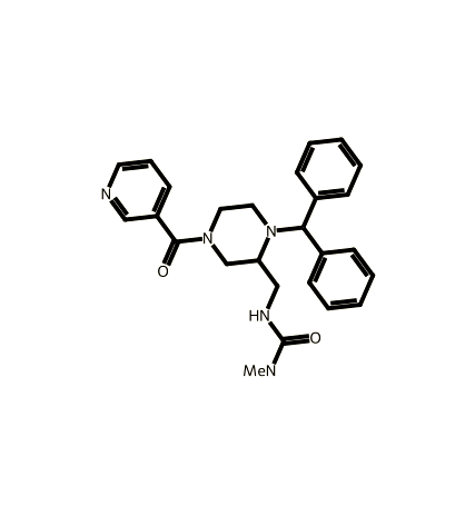 CNC(=O)NCC1CN(C(=O)c2cccnc2)CCN1C(c1ccccc1)c1ccccc1